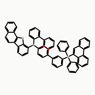 c1ccc(-c2ccccc2N(c2ccc(-c3cccc([Si](c4ccccc4)(c4ccccc4)c4cc5ccccc5c5ccccc45)c3)cc2)c2cccc3c2oc2c4ccccc4ccc32)cc1